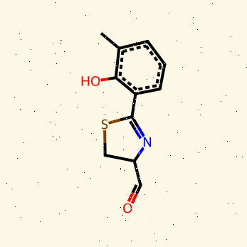 Cc1cccc(C2=NC(C=O)CS2)c1O